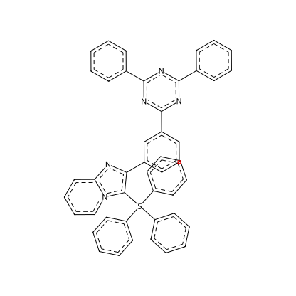 c1ccc(-c2nc(-c3ccccc3)nc(-c3cccc(-c4nc5ccccn5c4S(c4ccccc4)(c4ccccc4)c4ccccc4)c3)n2)cc1